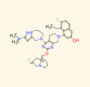 CCc1c(F)ccc2cc(O)cc(N3CCc4c(nc(OC[C@@]56CCCN5C[C@H](F)C6)nc4N4CCCn5nc(N(C)C)cc5C4)C3)c12